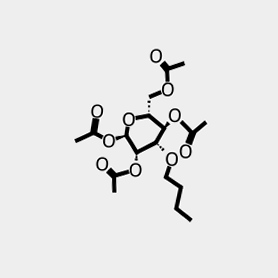 CCCCO[C@@H]1[C@H](OC(C)=O)[C@@H](OC(C)=O)O[C@H](COC(C)=O)[C@H]1OC(C)=O